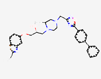 Cc1nc2cc(OC[C@@H](O)CN3CCN(Cc4noc(-c5ccc(-c6ccccc6)cc5)n4)C[C@@H]3C)ccc2s1